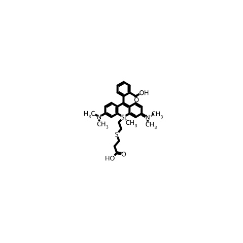 CN(C)c1ccc2c(c1)[Si](C)(CCSCCC(=O)O)C1=CC(=[N+](C)C)C=CC1=C2c1ccccc1C(=O)O